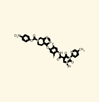 Cc1ccc(-n2c(=O)c(C(=O)Nc3cc(F)c(Oc4ncnc5c4CCN(C(=O)Oc4ccc([N+](=O)[O-])cc4)C5)cc3F)cn(C(C)C)c2=O)nc1